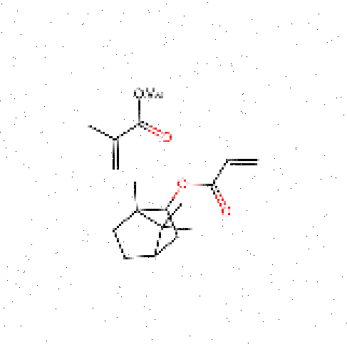 C=C(C)C(=O)OC.C=CC(=O)OC1CC2CCC1(C)C2(C)C